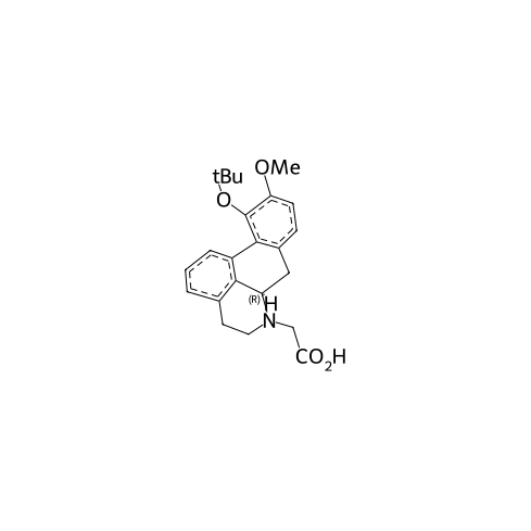 COc1ccc2c(c1OC(C)(C)C)-c1cccc3c1[C@@H](C2)N(CC(=O)O)CC3